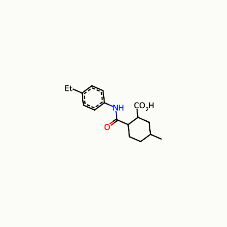 CCc1ccc(NC(=O)C2CCC(C)CC2C(=O)O)cc1